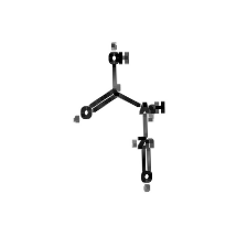 [O]=[Zn][AsH]C(=O)O